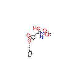 COc1cc(CC[C@](C)(CO)NC(=O)OC(C)(C)C)ccc1OCCCCc1ccccc1